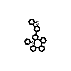 c1ccc(-n2c3ccccc3c3ccccc3c3ccccc3c3cc(-c4ccc5sc6ccccc6c5c4)ccc32)cc1